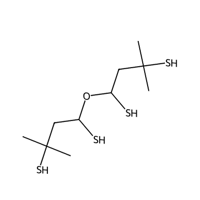 CC(C)(S)CC(S)OC(S)CC(C)(C)S